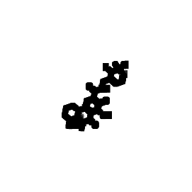 C=C1CCCN2[C@@H]1N(C)C(=O)c1c(O)c(=O)c(C(=O)NCC3=CC=NC(C)(Cl)C3F)cn12